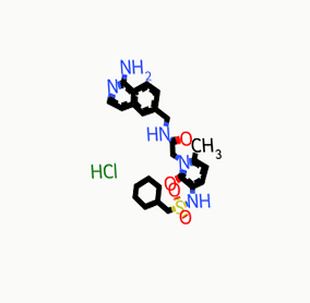 Cc1ccc(NS(=O)(=O)CC2CCCCC2)c(=O)n1CC(=O)NCc1ccc2c(N)nccc2c1.Cl